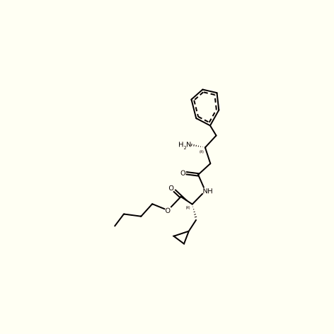 CCCCOC(=O)[C@@H](CC1CC1)NC(=O)C[C@H](N)Cc1ccccc1